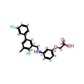 Cc1cc(-c2cccc(F)c2)cc(CNc2cccc(OCC(=O)O)c2)c1F